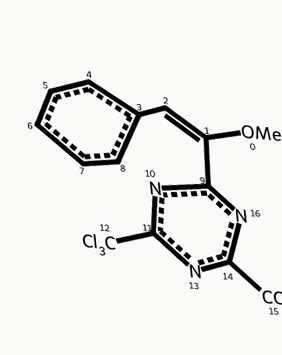 COC(=Cc1ccccc1)c1nc(C(Cl)(Cl)Cl)nc(C(Cl)(Cl)Cl)n1